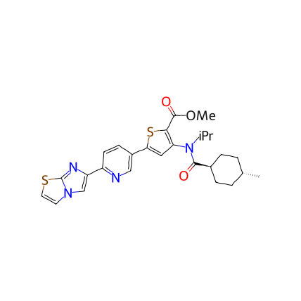 COC(=O)c1sc(-c2ccc(-c3cn4ccsc4n3)nc2)cc1N(C(=O)[C@H]1CC[C@H](C)CC1)C(C)C